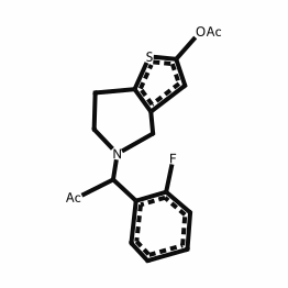 CC(=O)Oc1cc2c(s1)CCN(C(C(C)=O)c1ccccc1F)C2